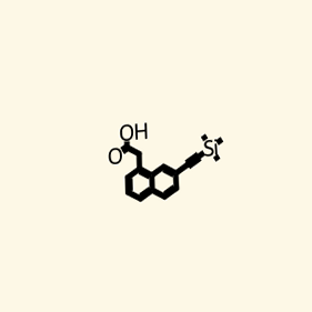 C[Si](C)(C)C#Cc1ccc2cccc(CC(=O)O)c2c1